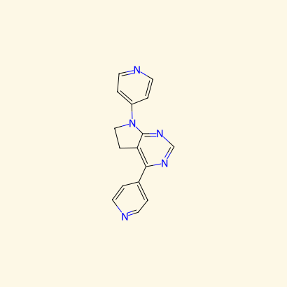 c1cc(-c2ncnc3c2CCN3c2ccncc2)ccn1